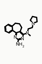 CN(CCN1CCCC1)c1nc(N)nc2c1CCCc1ccccc1-2